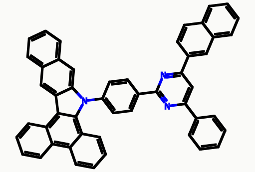 c1ccc(-c2cc(-c3ccc4ccccc4c3)nc(-c3ccc(-n4c5cc6ccccc6cc5c5c6ccccc6c6ccccc6c54)cc3)n2)cc1